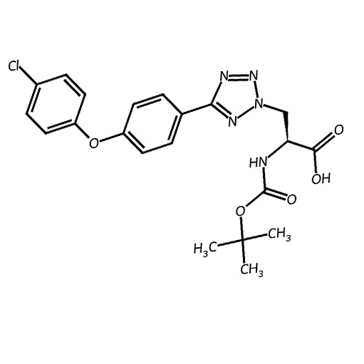 CC(C)(C)OC(=O)N[C@@H](Cn1nnc(-c2ccc(Oc3ccc(Cl)cc3)cc2)n1)C(=O)O